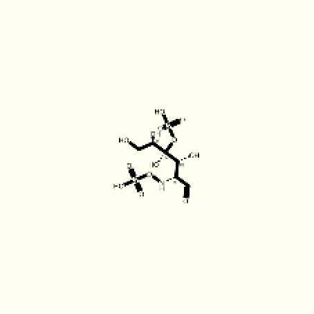 O=C[C@H](NOS(=O)(=O)O)[C@@H](O)[C@](O)(OS(=O)(=O)O)[C@H](O)CO